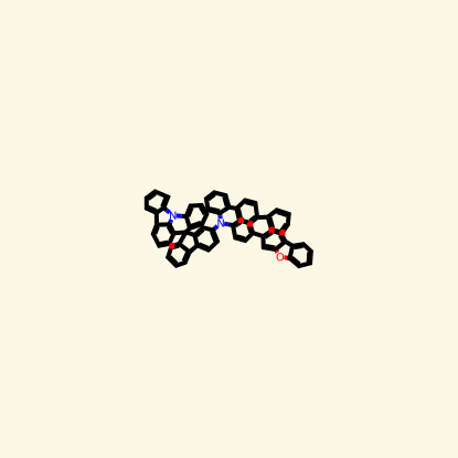 c1ccc(-c2ccc(-c3ccccc3N(c3ccc(-c4ccc5c(c4)oc4ccccc45)cc3)c3ccc4c(c3)C3(c5ccccc5-4)c4ccccc4-n4c5ccccc5c5cccc3c54)cc2)cc1